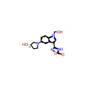 O=c1[nH]c(-c2cn(CO)c3ccc(N4CC[C@H](O)C4)cc23)no1